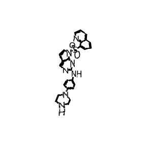 O=S(=O)(c1cccc2cccnc12)n1ccc2cnc(Nc3ccc(N4CCNCC4)cc3)nc21